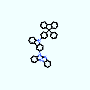 c1ccc(C2(c3ccc(-n4c5ccccc5c5cc(-n6c7ccccc7n7c8ccccc8nc67)ccc54)cc3)c3ccccc3-c3ccccc32)cc1